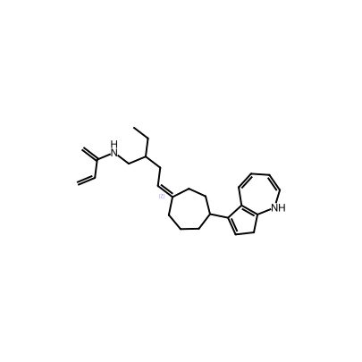 C=CC(=C)NCC(CC)C/C=C1/CCCC(C2=CCC3=C2C=CC=CN3)CC1